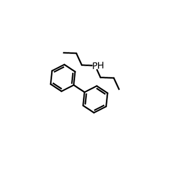 CCCPCCC.c1ccc(-c2ccccc2)cc1